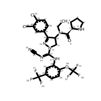 CCN(C(=O)[C@H]1CCCN1)C1CN(C(=NC#N)Nc2cc(C(F)(F)F)ccc2OC(F)(F)F)N=C1c1ccc(Cl)c(Cl)c1